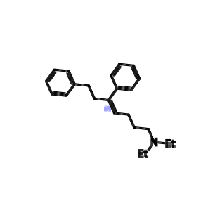 CCN(CC)CCC/C=C(/CCc1ccccc1)c1ccccc1